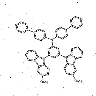 COc1ccc2c(c1)c1ccccc1n2-c1cc(N(c2ccc(-c3ccncc3)cc2)c2ccc(-c3ccncc3)cc2)cc(-n2c3ccccc3c3cc(OC)ccc32)c1